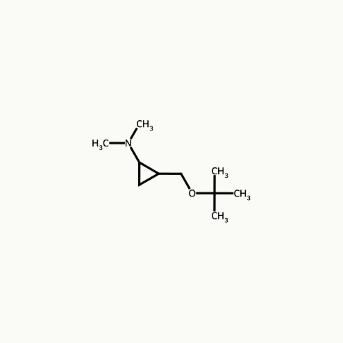 CN(C)C1CC1COC(C)(C)C